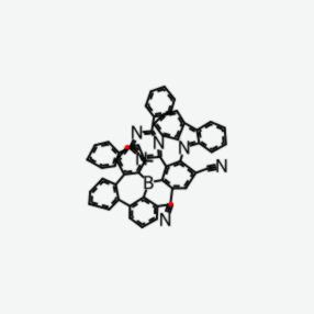 Cc1cccc2c1B(c1c(C#N)cc(C#N)c(-n3c4ccccc4c4ccccc43)c1-c1nc(-c3ccccc3)nc(-c3ccccc3)n1)c1c(C)cccc1-c1ccccc1-2